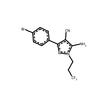 N#Cc1c(-c2ccc(Br)cc2)nn(CCC(F)(F)F)c1N